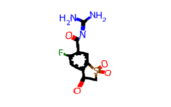 NC(N)=NC(=O)c1cc2c(cc1F)C(=O)CS2(=O)=O